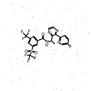 CC(NC(=O)c1cc(C(F)(F)F)cc(S(=O)(=O)C(F)(F)F)c1)c1nccnc1-c1ccc(F)cn1